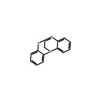 c1ccc2c(c1)N=C1CN2c2ccccc2S1